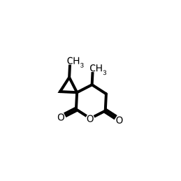 CC1CC(=O)OC(=O)C12CC2C